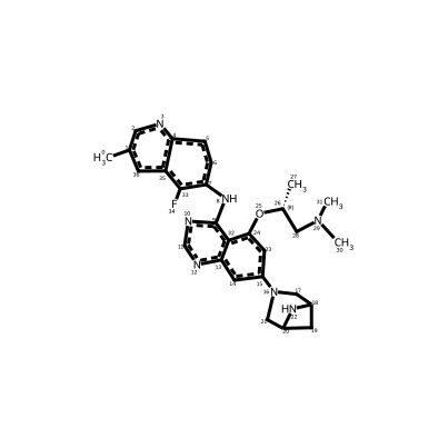 Cc1cnc2ccc(Nc3ncnc4cc(N5CC6CC(C5)N6)cc(O[C@H](C)CN(C)C)c34)c(F)c2c1